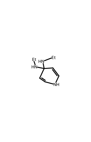 CCNC1(NCC)C=CNC=C1